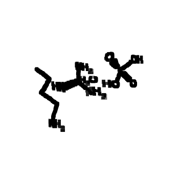 CCCCN.N=C(N)N.O.O=S(=O)(O)O